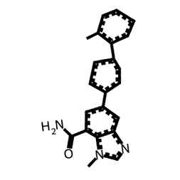 Cc1ccccc1-c1ccc(-c2cc(C(N)=O)c3c(c2)ncn3C)cc1